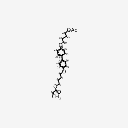 C=CC(=O)OCCCCOc1ccc(-c2ccc(OCCCCOC(C)=O)cc2)cc1